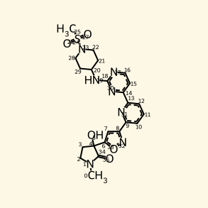 CN1CCC(O)(c2cc(-c3cccc(-c4ccnc(NC5CCN(S(C)(=O)=O)CC5)n4)n3)no2)C1=O